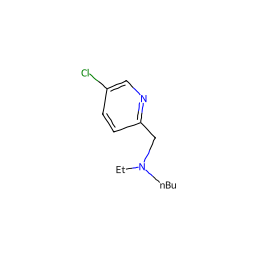 CCCCN(CC)Cc1ccc(Cl)cn1